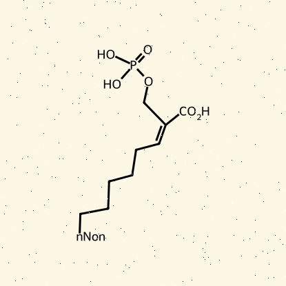 CCCCCCCCCCCCCCC=C(COP(=O)(O)O)C(=O)O